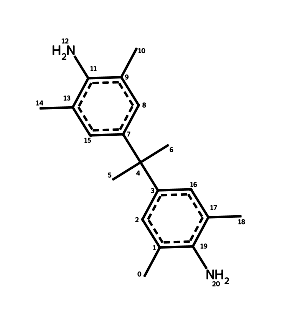 Cc1cc(C(C)(C)c2cc(C)c(N)c(C)c2)cc(C)c1N